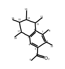 CC(=O)c1cc2c(c(C)c1C)C(C)C(C)C(C)C2C